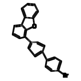 Brc1ccc(-c2ccc(-c3cccc4c3oc3ccccc34)cc2)cc1